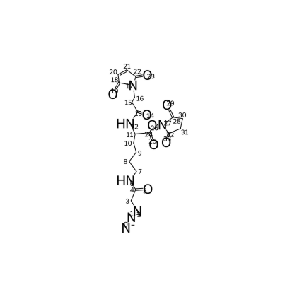 [N-]=[N+]=NCC(=O)NCCCCC(NC(=O)CCN1C(=O)C=CC1=O)C(=O)ON1C(=O)CCC1=O